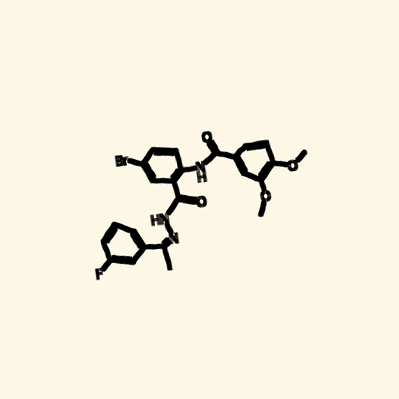 COc1ccc(C(=O)Nc2ccc(Br)cc2C(=O)NN=C(C)c2cccc(F)c2)cc1OC